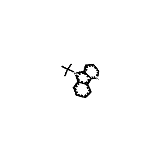 CC(C)(C)n1c2ccccc2c2ncccc21